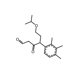 Cc1ccc(C(CCOC(C)C)C(=O)CC=O)c(C)c1C